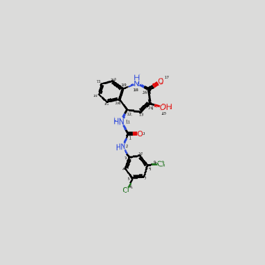 O=C(Nc1cc(Cl)cc(Cl)c1)NC1C=C(O)C(=O)Nc2ccccc21